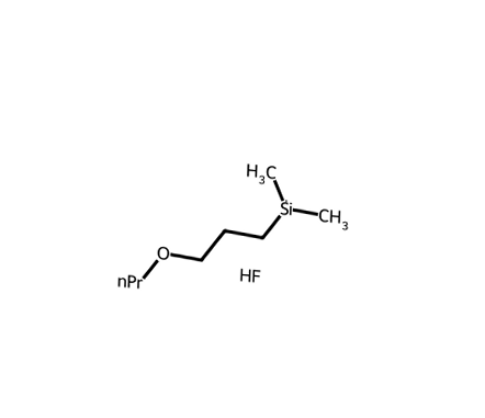 CCCOCCC[Si](C)C.F